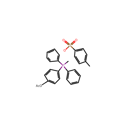 CC(=O)Oc1ccc([P+](C)(c2ccccc2)c2ccccc2)cc1.Cc1ccc(S(=O)(=O)[O-])cc1